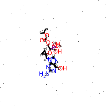 CC(C)OC(=O)OCC(OC1(Cn2cnc3c(O)nc(N)nc32)CC1)P(=O)(O)O